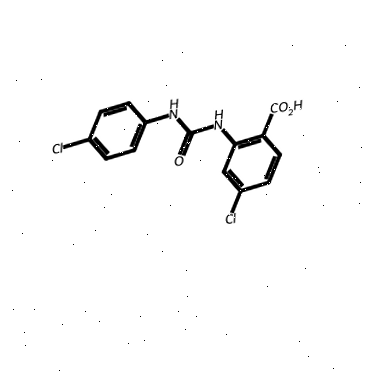 O=C(Nc1ccc(Cl)cc1)Nc1cc(Cl)ccc1C(=O)O